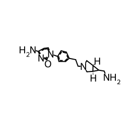 NCC1[C@H]2CN(CCc3ccc(-n4ccc(N)nc4=O)cc3)C[C@@H]12